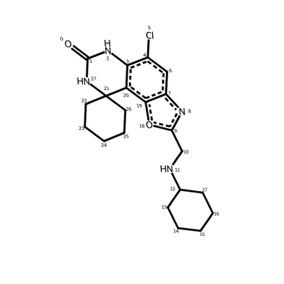 O=C1Nc2c(Cl)cc3nc(CNC4CCCCC4)oc3c2C2(CCCCC2)N1